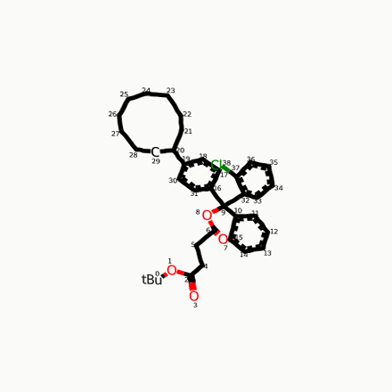 CC(C)(C)OC(=O)CCC(=O)OC(c1ccccc1)(c1ccc(C2CCCCCCCCC2)cc1)c1ccccc1Cl